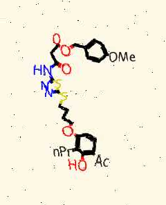 CCCc1c(OCCCCSc2nnc(NC(=O)CC(=O)OCc3ccc(OC)cc3)s2)ccc(C(C)=O)c1O